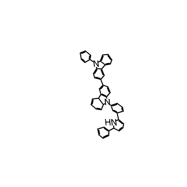 C1=CC(c2ccccc2)NC(c2cccc(N3c4ccc(-c5ccc6c(c5)c5ccccc5n6-c5ccccc5)cc4C4C=CC=CC43)c2)=C1